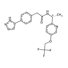 C[C@@H](NC(=O)Cc1ccc(-c2ccn[nH]2)cc1)c1ccc(OCC(F)(F)F)cn1